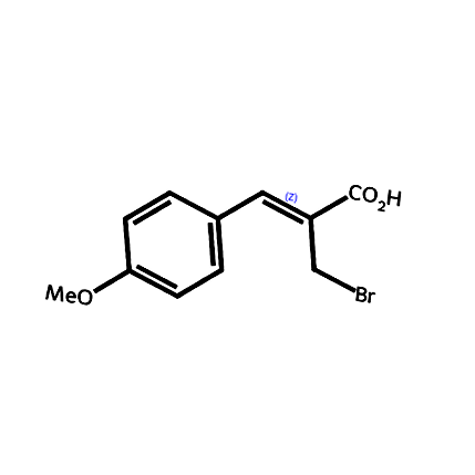 COc1ccc(/C=C(\CBr)C(=O)O)cc1